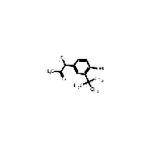 CC(=O)C(C)c1ccc(O)c(C(C)(C)C)c1